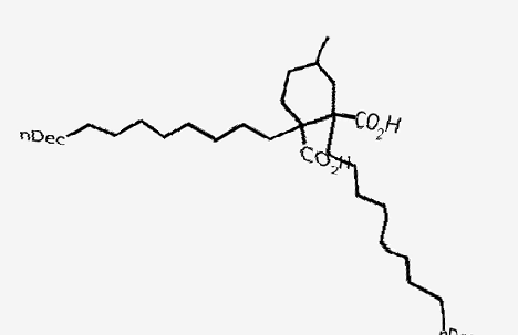 CCCCCCCCCCCCCCCCCCC1(C(=O)O)CCC(C)CC1(CCCCCCCCCCCCCCCCCC)C(=O)O